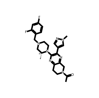 CC(=O)N1CCc2nc(N3CCN(Cc4ccc(F)cc4F)C[C@H]3C)c(-c3cnn(C)c3)nc2C1